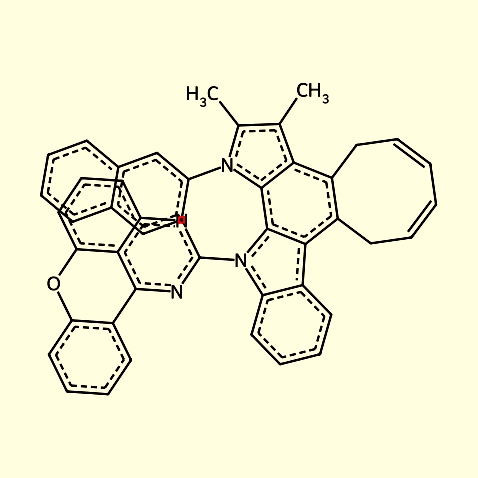 Cc1c(C)n(-c2ccc3ccccc3c2)c2c1c1c(c3c4ccccc4n(-c4nc5c6c(cccc6n4)Oc4ccccc4-5)c32)C/C=C\C=C/C1